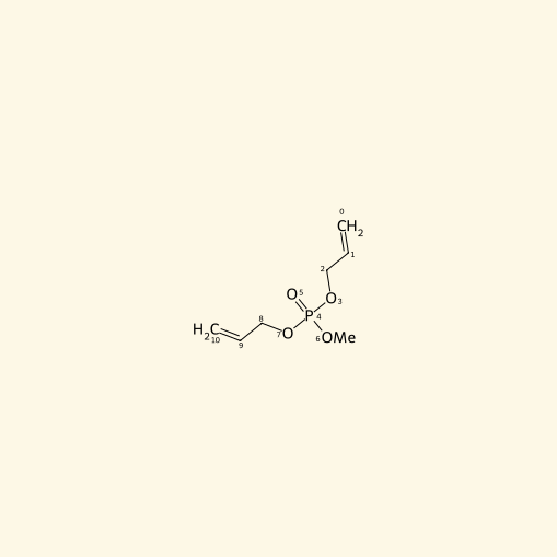 C=CCOP(=O)(OC)OCC=C